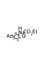 CCOC(=O)C(=O)Nc1cccc(C(C)=O)c1